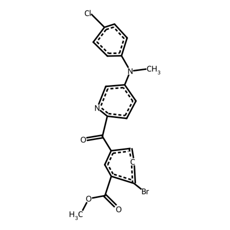 COC(=O)c1cc(C(=O)c2ccc(N(C)c3ccc(Cl)cc3)cn2)ccc1Br